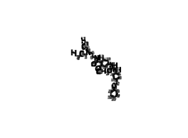 CCN(CC)CCNC(=O)c1ccc(NC(=O)Nc2ccc(COc3ccccc3)cc2)cc1OC